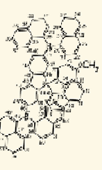 Cc1ccc(C2(c3cccc4ccccc34)c3cc(B(c4cccc5ccccc45)c4cccc5ccccc45)ccc3-c3ccc(B(c4cccc5ccccc45)c4cccc5ccccc45)cc32)cc1